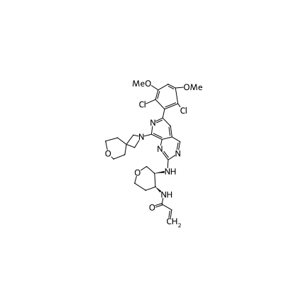 C=CC(=O)N[C@H]1CCOC[C@H]1Nc1ncc2cc(-c3c(Cl)c(OC)cc(OC)c3Cl)nc(N3CC4(CCOCC4)C3)c2n1